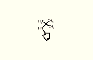 CC(C)(C)NC1=NC=CC1